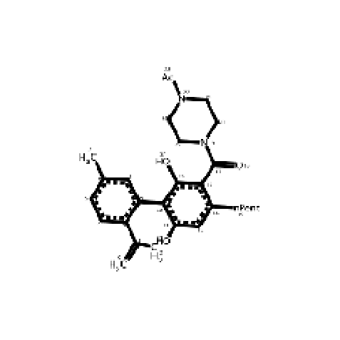 C=C(C)c1ccc(C)cc1-c1c(O)cc(CCCCC)c(C(=O)N2CCN(C(C)=O)CC2)c1O